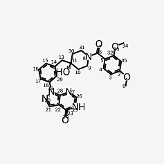 COc1ccc(C(=O)N2CCC(O)(Cc3cccc(-n4ncc5c(=O)[nH]cnc54)c3)CC2)c(OC)c1